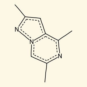 Cc1cn2nc(C)cc2c(C)n1